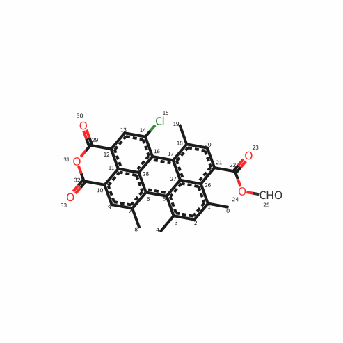 Cc1cc(C)c2c3c(C)cc4c5c(cc(Cl)c(c6c(C)cc(C(=O)OC=O)c1c26)c53)C(=O)OC4=O